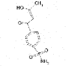 CC(O)=CC(=O)c1ccc(S(N)(=O)=O)cc1